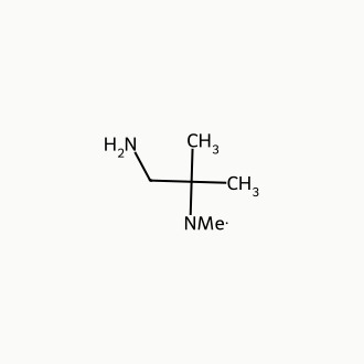 C[N]C(C)(C)CN